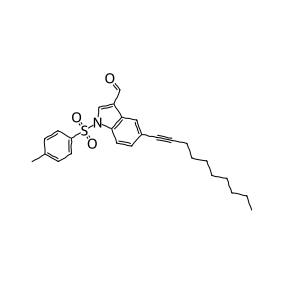 CCCCCCCCC#Cc1ccc2c(c1)c(C=O)cn2S(=O)(=O)c1ccc(C)cc1